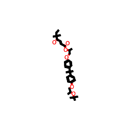 CCC(C)(C)C(=O)/C=C/C(=O)OC(C)COc1ccc(C(C)(C)c2ccc(OCC(C)OC(C)(C)C)cc2)cc1